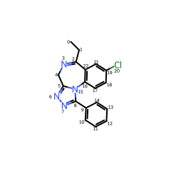 CCC1=NCc2nnc(-c3ccccc3)n2-c2ccc(Cl)cc21